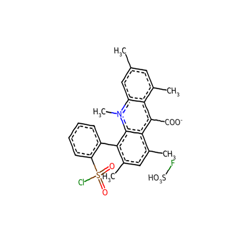 Cc1cc(C)c2c(C(=O)[O-])c3c(C)cc(C)c(-c4ccccc4S(=O)(=O)Cl)c3[n+](C)c2c1.O=S(=O)(O)F